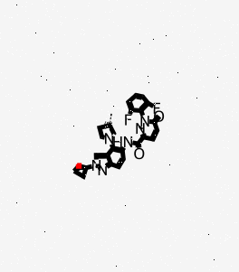 C[C@H]1CCN(c2c(NC(=O)c3ccc(=O)n(-c4c(F)cccc4F)n3)ccc3nn(C45CC(C4)C5)cc23)C1